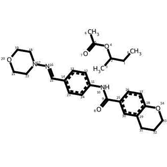 CCC(C)OC(C)=O.O=C(Nc1ccc(C=NN2CCOCC2)cc1)c1ccc2c(c1)CCCO2